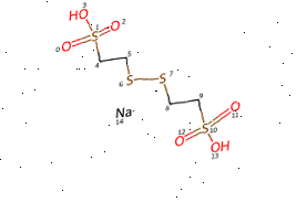 O=S(=O)(O)CCSSCCS(=O)(=O)O.[Na]